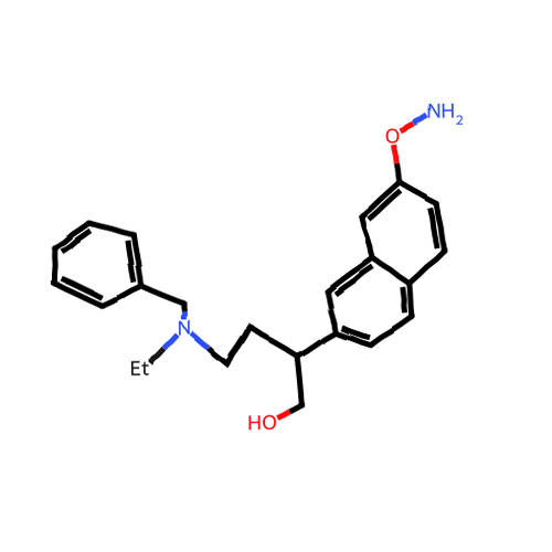 CCN(CCC(CO)c1ccc2ccc(ON)cc2c1)Cc1ccccc1